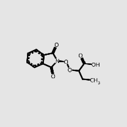 CCC(OON1C(=O)c2ccccc2C1=O)C(=O)O